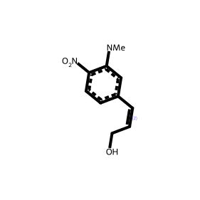 CNc1cc(/C=C\CO)ccc1[N+](=O)[O-]